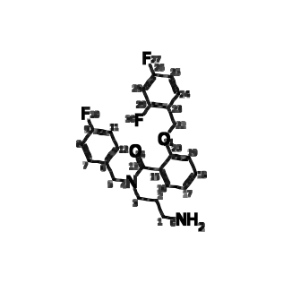 NCCCN(Cc1ccc(F)cc1)C(=O)c1ccccc1OCc1ccc(F)cc1F